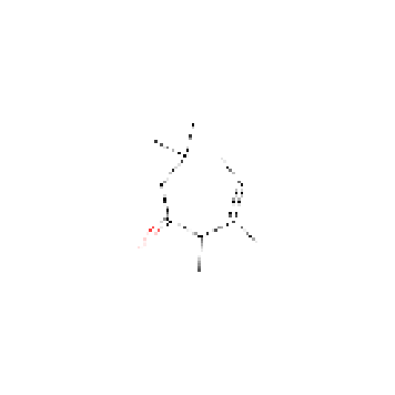 CC1=CCC(C)(C)CC(=O)C1C